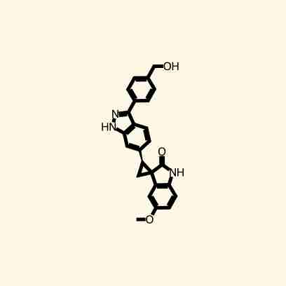 COc1ccc2c(c1)C1(C[C@H]1c1ccc3c(-c4ccc(CO)cc4)n[nH]c3c1)C(=O)N2